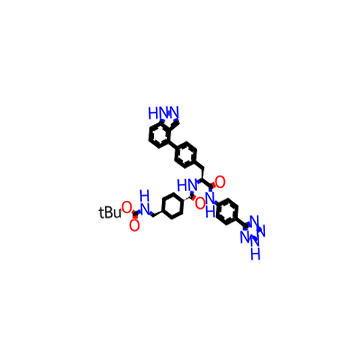 CC(C)(C)OC(=O)NC[C@H]1CC[C@H](C(=O)N[C@@H](Cc2ccc(-c3cccc4[nH]ncc34)cc2)C(=O)Nc2ccc(-c3nn[nH]n3)cc2)CC1